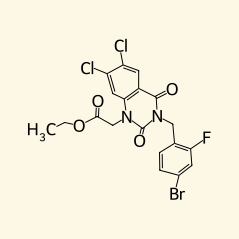 CCOC(=O)Cn1c(=O)n(Cc2ccc(Br)cc2F)c(=O)c2cc(Cl)c(Cl)cc21